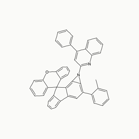 Cc1ccccc1-c1cc2c(c3c1N3c1cc(-c3ccccc3)c3ccccc3n1)C1(c3ccccc3Oc3ccccc31)c1ccccc1-2